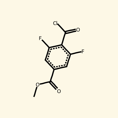 COC(=O)c1cc(F)c(C(=O)Cl)c(F)c1